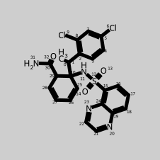 CC(c1ccc(Cl)cc1Cl)C1(NS(=O)(=O)c2cccc3nccnc23)C=CC=CC1C(N)=O